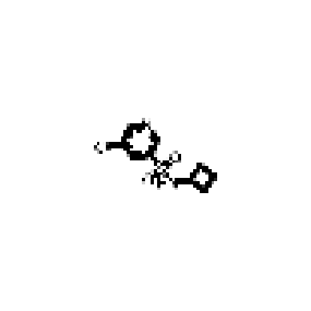 O=S(=O)(NC1CCC1)c1cncc(Cl)c1